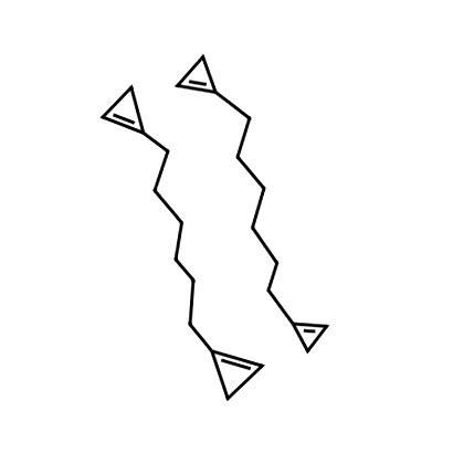 C1=C(CCCCCCC2=CC2)C1.C1=C(CCCCCCC2=CC2)C1